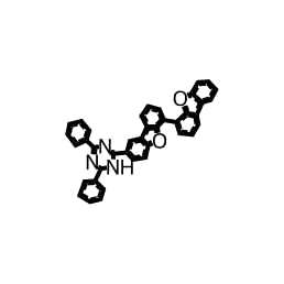 c1ccc(C2=NC(c3ccccc3)NC(c3ccc4oc5c(-c6cccc7c6oc6ccccc67)cccc5c4c3)=N2)cc1